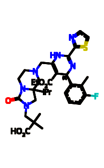 CCOC(=O)C1=C(CN2CCN3C(=O)N(CC(C)(C)C(=O)O)CC3(C(C)C)C2)NC(c2nccs2)=N[C@H]1c1cccc(F)c1C